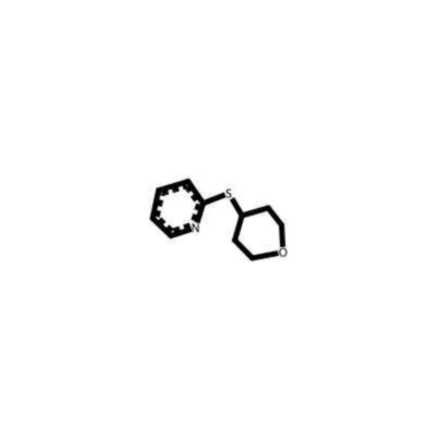 c1ccc(SC2CCOCC2)nc1